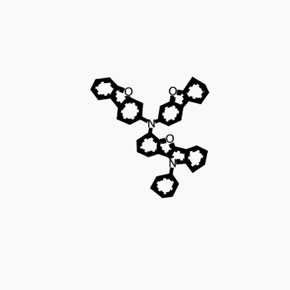 c1ccc(-n2c3ccccc3c3oc4c(N(c5ccc6c(c5)oc5ccccc56)c5ccc6c(c5)oc5ccccc56)cccc4c32)cc1